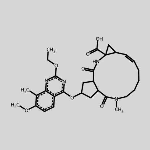 CCOc1nc(OC2CC3C(=O)NC4(C(=O)O)CC4C=CCCCCN(C)C(=O)C3C2)c2ccc(OC)c(C)c2n1